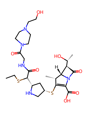 CCSC(C(=O)NCC(=O)N1CCN(CCO)CC1)[C@@H]1C[C@H](SC2=C(C(=O)O)N3C(=O)[C@H]([C@@H](C)O)[C@H]3[C@H]2C)CN1